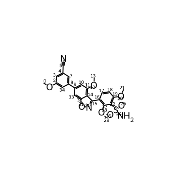 COc1cc(C#N)cc(-c2cc(OC)c3c(-c4ccc(OC)c(S(N)(=O)=O)c4OC)noc3c2)c1